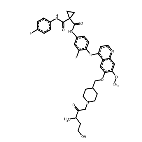 COc1cc2nccc(Oc3ccc(NC(=O)C4(C(=O)Nc5ccc(F)cc5)CC4)cc3F)c2cc1OCC1CCN(CC(=O)C(C)CCO)CC1